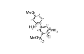 COC(=O)c1nc(-c2ccc(OC)cc2N)cc(N)c1Cl